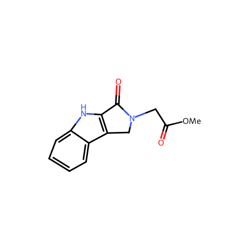 COC(=O)CN1Cc2c([nH]c3ccccc23)C1=O